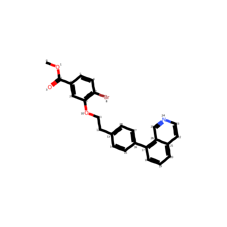 COC(=O)c1ccc(Br)c(OCCc2ccc(-c3cccc4ccncc34)cc2)c1